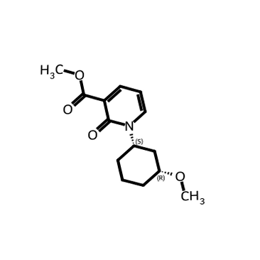 COC(=O)c1cccn([C@H]2CCC[C@@H](OC)C2)c1=O